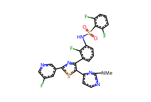 CNc1nccc(-c2sc(-c3cncc(F)c3)nc2-c2cccc(NS(=O)(=O)c3c(F)cccc3F)c2F)n1